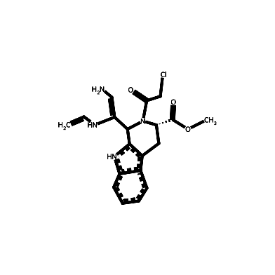 C=CN/C(=C\N)C1c2[nH]c3ccccc3c2C[C@@H](C(=O)OC)N1C(=O)CCl